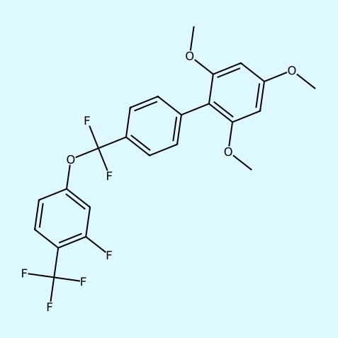 COc1cc(OC)c(-c2ccc(C(F)(F)Oc3ccc(C(F)(F)F)c(F)c3)cc2)c(OC)c1